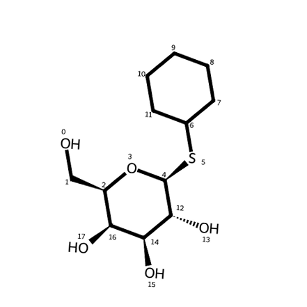 OC[C@H]1O[C@@H](SC2CCCCC2)[C@H](O)[C@@H](O)[C@H]1O